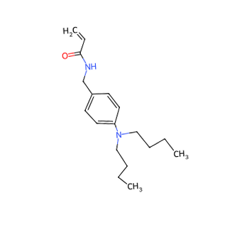 C=CC(=O)NCc1ccc(N(CCCC)CCCC)cc1